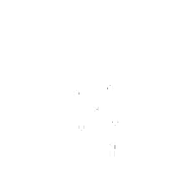 CCCO[Si](OCCC)(OCCC)O[SiH](C)C